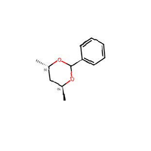 C[C@H]1C[C@H](C)OC(c2ccccc2)O1